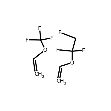 C=COC(F)(F)CF.C=COC(F)(F)F